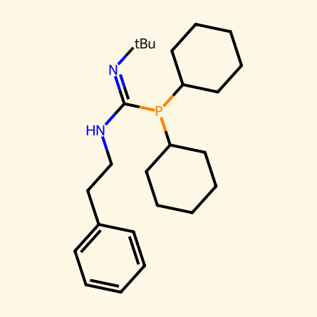 CC(C)(C)/N=C(/NCCc1ccccc1)P(C1CCCCC1)C1CCCCC1